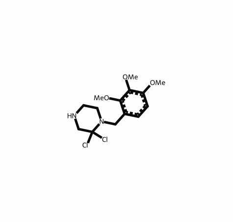 COc1ccc(CN2CCNCC2(Cl)Cl)c(OC)c1OC